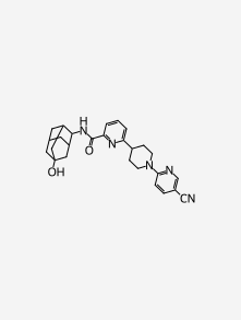 N#Cc1ccc(N2CCC(c3cccc(C(=O)NC4C5CC6CC4CC(O)(C6)C5)n3)CC2)nc1